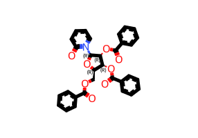 O=C(OC[C@H]1O[C@@H](n2ccccc2=O)[C@H](OC(=O)c2ccccc2)[C@@H]1OC(=O)c1ccccc1)c1ccccc1